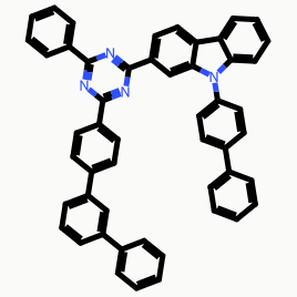 c1ccc(-c2ccc(-n3c4ccccc4c4ccc(-c5nc(-c6ccccc6)nc(-c6ccc(-c7cccc(-c8ccccc8)c7)cc6)n5)cc43)cc2)cc1